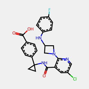 O=C(O)c1ccc(C2(NC(=O)c3cc(Cl)cnc3N3CC(Nc4ccc(F)cc4)C3)CC2)cc1